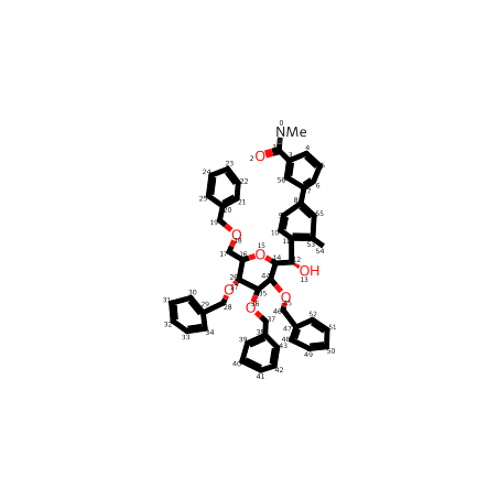 CNC(=O)c1cccc(-c2ccc([C@@H](O)C3OC(COCc4ccccc4)C(OCc4ccccc4)C(OCc4ccccc4)C3OCc3ccccc3)c(C)c2)c1